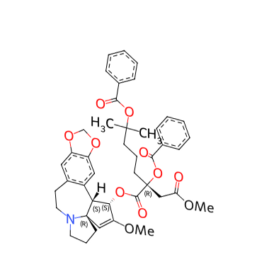 COC(=O)C[C@@](CCCC(C)(C)OC(=O)c1ccccc1)(OC(=O)c1ccccc1)C(=O)O[C@@H]1C(OC)=C[C@]23CCCN2CCc2cc4c(cc2[C@H]13)OCO4